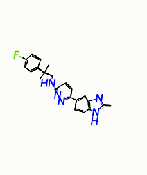 Cc1nc2cc(-c3ccc(NCC(C)(C)c4ccc(F)cc4)nn3)ccc2[nH]1